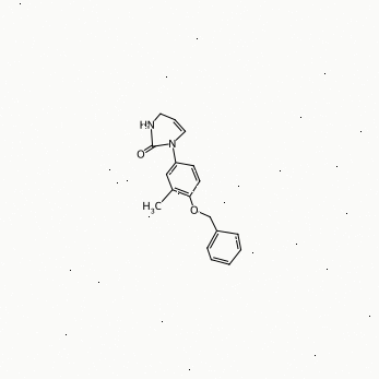 Cc1cc(N2C=CCNC2=O)ccc1OCc1ccccc1